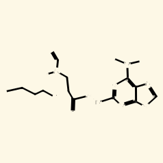 CCCCC[C@H](CN(O)C=O)C(=O)NNc1nc(N(C)C)c2nc[nH]c2n1